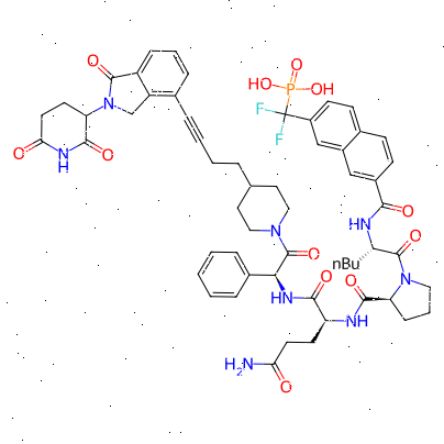 CCCC[C@H](NC(=O)c1ccc2ccc(C(F)(F)P(=O)(O)O)cc2c1)C(=O)N1CCC[C@H]1C(=O)N[C@@H](CCC(N)=O)C(=O)N[C@H](C(=O)N1CCC(CCC#Cc2cccc3c2CN(C2CCC(=O)NC2=O)C3=O)CC1)c1ccccc1